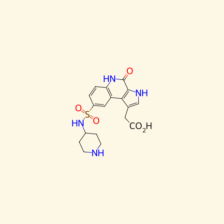 O=C(O)Cc1c[nH]c2c(=O)[nH]c3ccc(S(=O)(=O)NC4CCNCC4)cc3c12